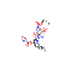 CCOC(=O)N1CCN(C(=O)[C@H](CCC(=O)O)NC(=O)c2cc(OCC(=O)N3CCOCC3)c3ccc(C)cc3n2)CC1